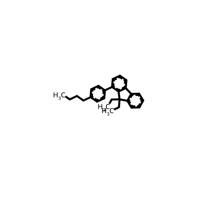 CCCCc1ccc(-c2cccc3c2C(CC)(CC)c2ccccc2-3)cc1